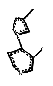 Cc1cnn(-c2ccncc2F)c1